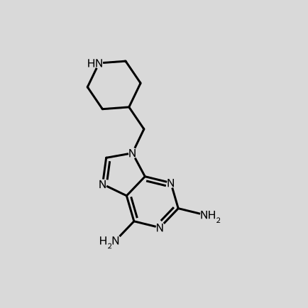 Nc1nc(N)c2ncn(CC3CCNCC3)c2n1